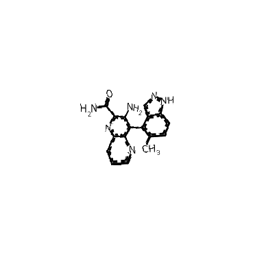 Cc1ccc2[nH]ncc2c1-c1c(N)c(C(N)=O)nc2cccnc12